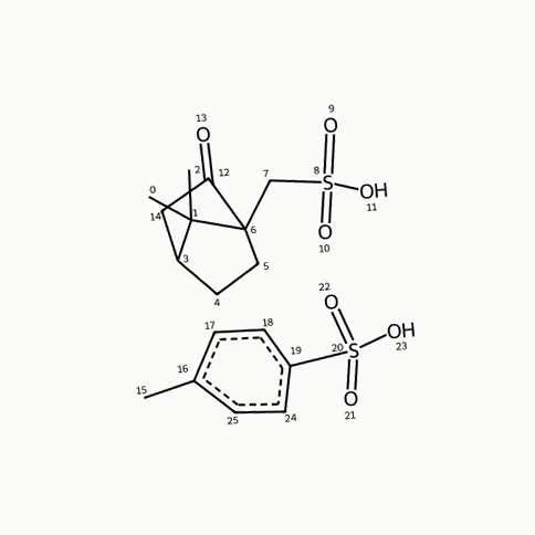 CC1(C)C2CCC1(CS(=O)(=O)O)C(=O)C2.Cc1ccc(S(=O)(=O)O)cc1